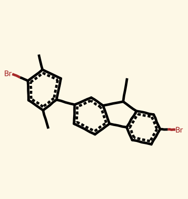 Cc1cc(-c2ccc3c(c2)C(C)c2cc(Br)ccc2-3)c(C)cc1Br